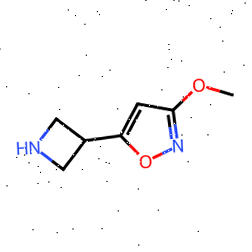 COc1cc(C2CNC2)on1